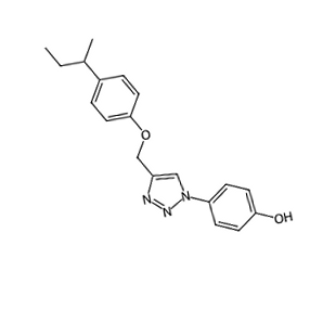 CCC(C)c1ccc(OCc2cn(-c3ccc(O)cc3)nn2)cc1